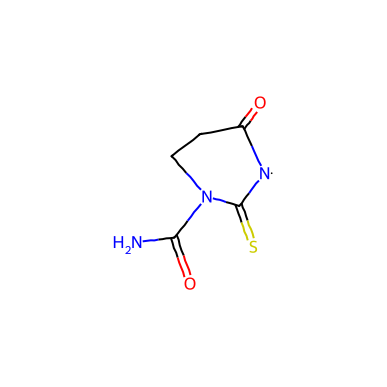 NC(=O)N1CCC(=O)[N]C1=S